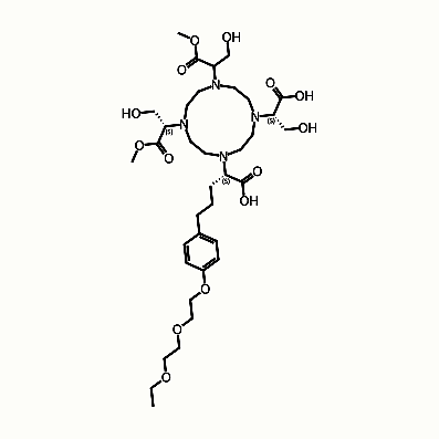 CCOCCOCCOc1ccc(CCC[C@@H](C(=O)O)N2CCN([C@@H](CO)C(=O)O)CCN(C(CO)C(=O)OC)CCN([C@@H](CO)C(=O)OC)CC2)cc1